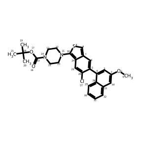 COc1cc(-c2cc3csc(N4CCN(C(=O)OC(C)(C)C)CC4)c3cc2Cl)c2ccccc2c1